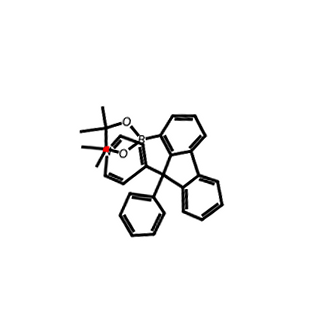 CC1(C)OB(c2cccc3c2C(c2ccccc2)(c2ccncc2)c2ccccc2-3)OC1(C)C